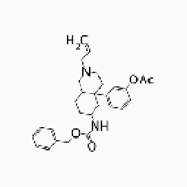 C=CCN1CCC2(c3cccc(OC(C)=O)c3)CC(NC(=O)OCc3ccccc3)CCC2C1